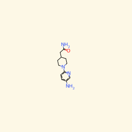 NC(=O)CC1CCN(c2ccc(N)cn2)CC1